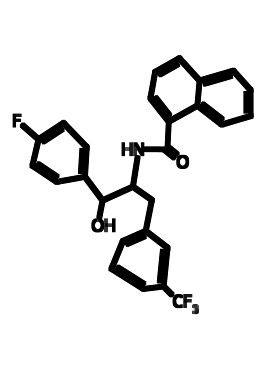 O=C(NC(Cc1cccc(C(F)(F)F)c1)C(O)c1ccc(F)cc1)c1cccc2ccccc12